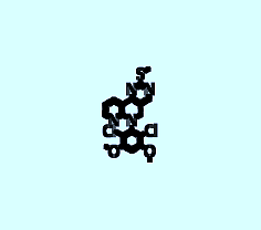 COc1cc(OC)c(Cl)c(N2Cc3cnc(SC)nc3-c3cccnc32)c1Cl